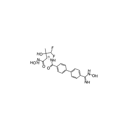 CC(O)(C(F)F)[C@H](NC(=O)c1ccc(-c2ccc(C(=N)NO)cc2)cc1)C(=O)NO